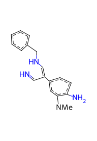 CNc1cc(/C(C=N)=C/NCc2ccccc2)ccc1N